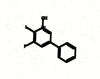 O[n+]1cc(-c2ccccc2)cc(F)c1I